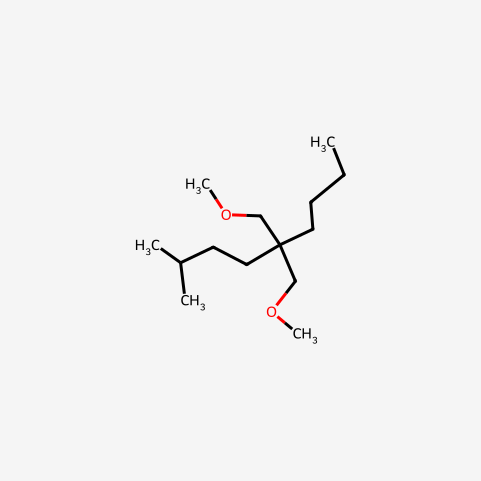 CCCCC(CCC(C)C)(COC)COC